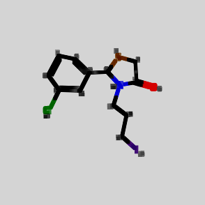 O=C1CSC(c2cccc(Cl)c2)N1CCCI